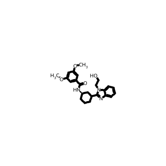 COc1cc(OC)cc(C(=O)N[C@@H]2CCCC(c3nc4ccccc4n3CCO)C2)c1